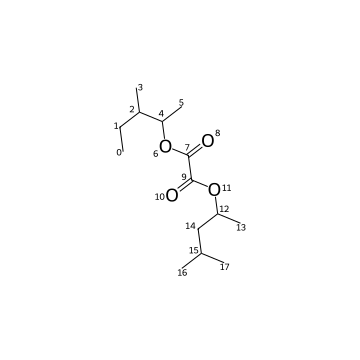 CCC(C)C(C)OC(=O)C(=O)OC(C)CC(C)C